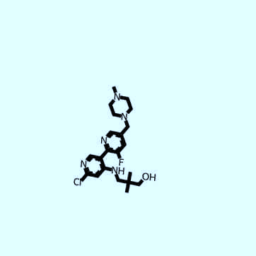 CN1CCN(Cc2cnc(-c3cnc(Cl)cc3NCC(C)(C)CO)c(F)c2)CC1